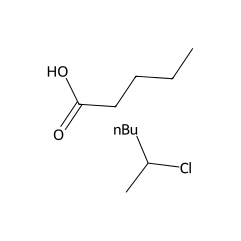 CCCCC(=O)O.CCCCC(C)Cl